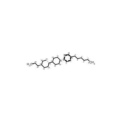 CCCCCCc1ccc([C@H]2CC[C@H]([C@H]3CC[C@H](CCC)CC3)CC2)nc1